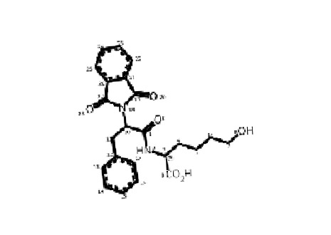 O=C(N[C@@H](CCCCO)C(=O)O)C(Cc1ccccc1)N1C(=O)c2ccccc2C1=O